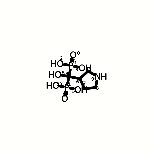 O=P(O)(O)C(O)(C1CCNC1)P(=O)(O)O